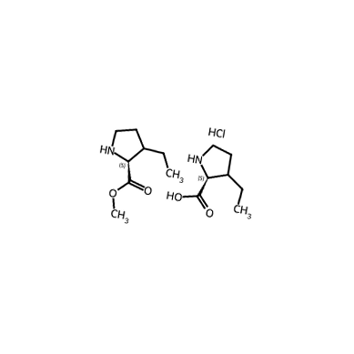 CCC1CCN[C@@H]1C(=O)O.CCC1CCN[C@@H]1C(=O)OC.Cl